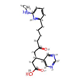 CNc1cccc(CCCCC(=O)C[C@H](CC(=O)O)c2cncnc2)n1